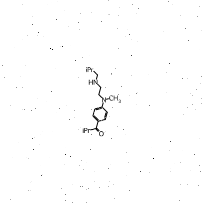 CC(C)CNCCN(C)c1ccc(C(=O)C(C)C)cc1